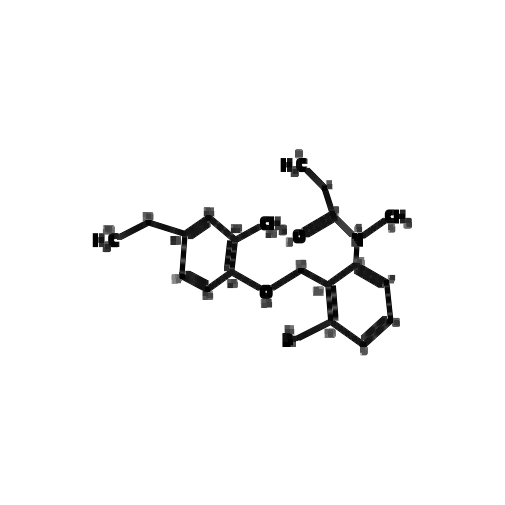 CCC(=O)N(C)c1cccc(Br)c1COc1ccc(CC)cc1C